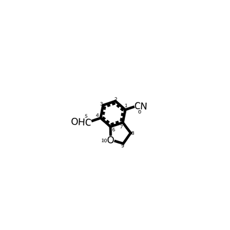 N#Cc1ccc(C=O)c2c1CCO2